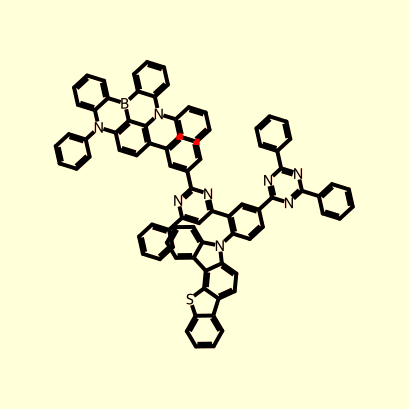 c1ccc(-c2cc(-c3cc(-c4nc(-c5ccccc5)nc(-c5ccccc5)n4)ccc3-n3c4ccccc4c4c5sc6ccccc6c5ccc43)nc(-c3cccc(-c4ccc5c6c4N(c4ccccc4)c4ccccc4B6c4ccccc4N5c4ccccc4)c3)n2)cc1